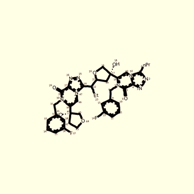 CCCc1nnc2c(=O)n(Cc3cccc(F)c3)c([C@]3(O)COC(C(CC)c4nnc5c(=O)n(Cc6cccc(F)c6)c([C@]6(O)CCOC6)cn45)C3)cn12